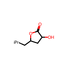 CC(C)CC1CC(O)C(=O)O1